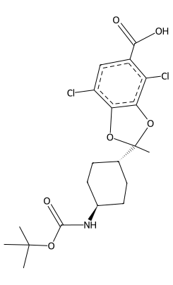 CC(C)(C)OC(=O)N[C@H]1CC[C@H](C2(C)Oc3c(Cl)cc(C(=O)O)c(Cl)c3O2)CC1